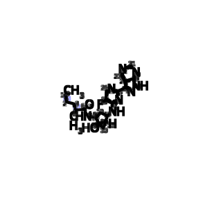 C/C=C\C=C(/C)C(=O)N[C@H]1CC(Nc2nc(-c3n[nH]c4ncncc34)ncc2F)[C@H]2C[C@@]12O